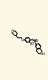 O=S(=O)(Nc1ccc(OCCC2CCOCC2)cc1F)c1ccc2c(c1)CCNC2